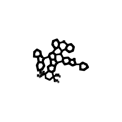 CC1(C)CCC(C)(C)c2cc3c(cc21)c1c(-n2c4ccccc4c4ccccc42)cc2c4c1n3-c1cc3cc(-c5ccccc5)oc3cc1B4N1c3ccccc3Oc3cccc-2c31